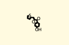 O=C1/C(=C/c2cccs2)Oc2cc(O)ccc21